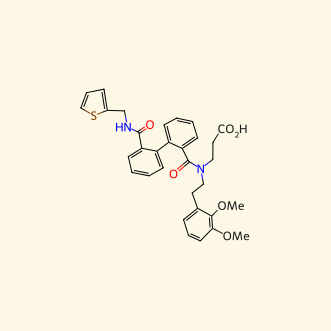 COc1cccc(CCN(CCC(=O)O)C(=O)c2ccccc2-c2ccccc2C(=O)NCc2cccs2)c1OC